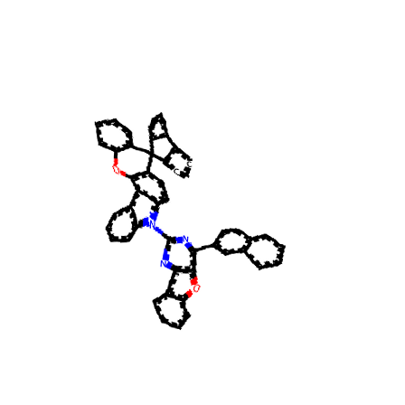 c1ccc2c(c1)Oc1c(ccc3c1c1ccccc1n3-c1nc(-c3ccc4ccccc4c3)c3oc4ccccc4c3n1)C21c2ccccc2-c2ccccc21